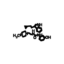 CN1CCN(CCNC(=O)Nc2cccc(O)c2)CC1.c1ccc2c(CCC3CC3)c[nH]c2c1